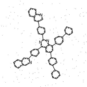 c1ccc(-c2ccc(-c3cc(-c4ccc(-c5ccccc5)cc4)c4nc(-c5ccc(-c6cnc7ccccc7c6)cc5)nc(-c5ccc(-c6cc7ccccc7cn6)cc5)c4c3)cc2)cc1